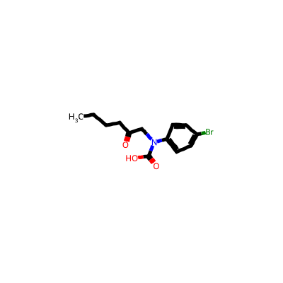 CCCCC(=O)CN(C(=O)O)c1ccc(Br)cc1